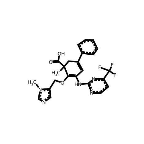 Cn1cncc1COC1=C(Nc2nccc(C(F)(F)F)n2)C=C(c2ccccc2)CC1(C)C(=O)O